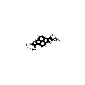 CCOc1c(C)sc2c1-c1ccc3c4c(ccc-2c14)-c1c-3sc(C)c1C